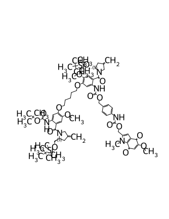 C=C1C[C@@H](CO[Si](C)(C)C(C)(C)C)N(C(=O)c2cc(OC)c(OCCCCCOc3cc(NC(=O)OC(C)(C)C)c(C(=O)N4CC(=C)C[C@H]4CO[Si](C)(C)C(C)(C)C)cc3OC)cc2NC(=O)OCc2ccc(NC(=O)OCc3cc4c(n3C)C(=O)C=C(OC)C4=O)cc2)C1